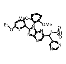 CCOc1cccc(-c2nc3ncc(C(N[SH](=O)=O)c4cncnc4)nc3n2-c2c(OC)cccc2OC)n1